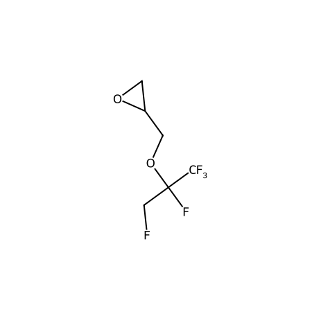 FCC(F)(OCC1CO1)C(F)(F)F